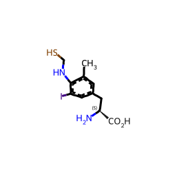 Cc1cc(C[C@H](N)C(=O)O)cc(I)c1NCS